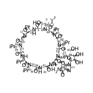 C/C=C/C[C@@H](C)[C@@H](O)[C@H]1C(=O)N[C@@H](CC)C(=O)N(C)CC(=O)N(C)[C@@H](CC(C)C)C(=O)N[C@@H](C(C)C)C(=O)N(C)[C@@H](CC(C)C)C(=O)N[C@@H](C)C(=O)N[C@H](C)C(=O)N(C)[C@@H](CC(C)C)C(=O)N(C)[C@@H](CC(C)C)C(=O)N(C)[C@@H](C(C)C)C(=O)N1C.NC(=O)c1ncn([C@@H]2O[C@H](CO)[C@@H](O)[C@H]2O)c1O